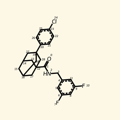 O=C(NCc1cc(F)cc(F)c1)C12CC3CC(C1)CC(c1ccc(Cl)cc1)(C3)C2